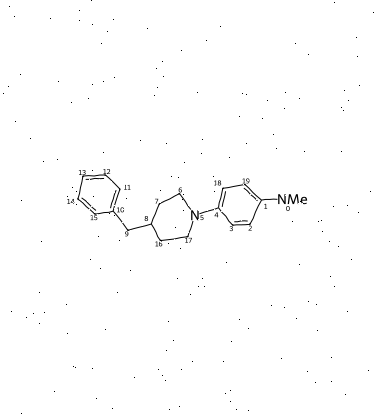 CNc1ccc(N2CCC(Cc3ccccc3)CC2)cc1